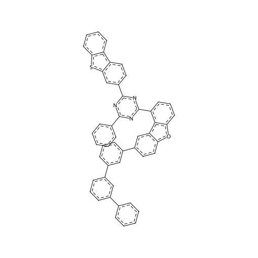 c1ccc(-c2cccc(-c3cccc(-c4ccc5oc6cccc(-c7nc(-c8ccccc8)nc(-c8ccc9c(c8)sc8ccccc89)n7)c6c5c4)c3)c2)cc1